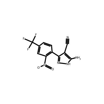 N#Cc1c(-c2ccc(C(F)(F)F)cc2[N+](=O)[O-])n[nH]c1N